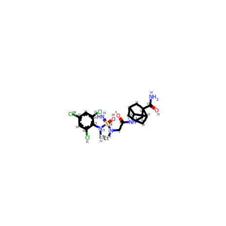 CCN(CC(=O)NC1C2CC3CC1C(C(N)=O)(C3)C2)S(=N)(=O)N(CC)c1c(Cl)cc(Cl)cc1Cl